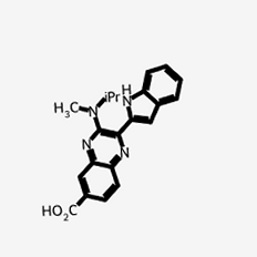 CC(C)N(C)c1nc2cc(C(=O)O)ccc2nc1-c1cc2ccccc2[nH]1